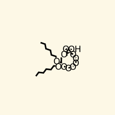 CCCCCCOC1(OCCCCCC)COP(=O)(O)OOOOOO1